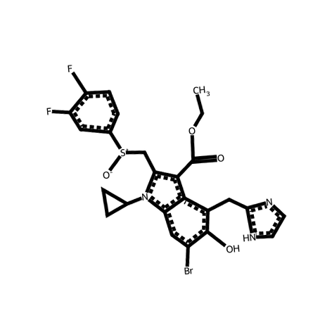 CCOC(=O)c1c(C[S+]([O-])c2ccc(F)c(F)c2)n(C2CC2)c2cc(Br)c(O)c(Cc3ncc[nH]3)c12